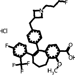 COc1c(C(=O)O)ccc2c1CCCC(c1ccc(F)cc1C(F)(F)F)=C2c1ccc(CC2CN(CCCF)C2)cc1.Cl